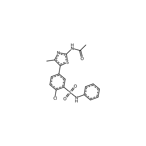 CC(=O)Nc1nc(C)c(-c2ccc(Cl)c(S(=O)(=O)Nc3ccccc3)c2)s1